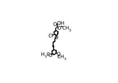 CCO[C@@H](Cc1ccc(OCC=CC#Cc2cc(OC)cc(OC)c2)c(Cl)c1)C(=O)O